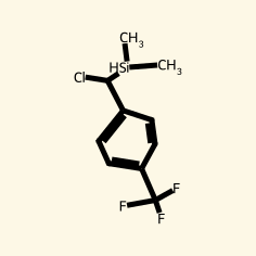 C[SiH](C)C(Cl)c1ccc(C(F)(F)F)cc1